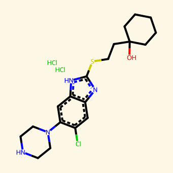 Cl.Cl.OC1(CCSc2nc3cc(Cl)c(N4CCNCC4)cc3[nH]2)CCCCC1